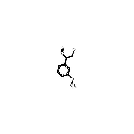 COc1cccc(C(C[O])[S+]=O)c1